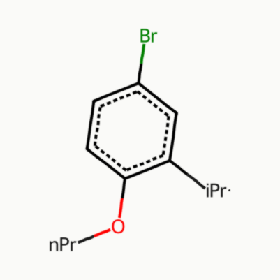 CCCOc1ccc(Br)cc1[C](C)C